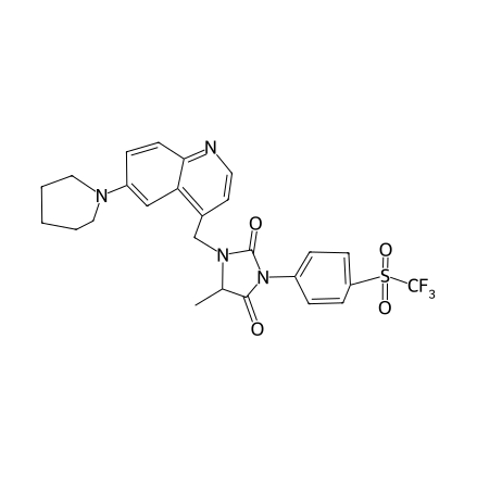 CC1C(=O)N(c2ccc(S(=O)(=O)C(F)(F)F)cc2)C(=O)N1Cc1ccnc2ccc(N3CCCCC3)cc12